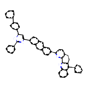 C1=C(c2ccc3cc4cc(-c5ccc6c(n5)-c5nc7ccccc7c(-c7ccccc7)c5CC6)ccc4cc3c2)N=C(c2ccccc2)NC1c1ccc(-c2ccccc2)cc1